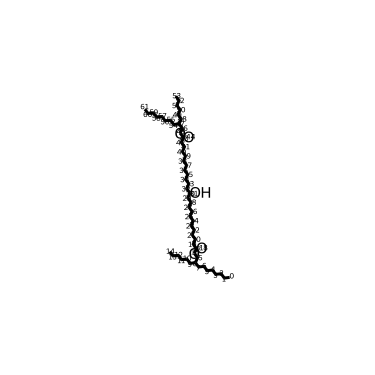 CCCCCCCCC(CCCCCC)COC(=O)CCCCCCCCCCCC(O)CCCCCCCCCCCC(=O)OCC(CCCCCC)CCCCCCCC